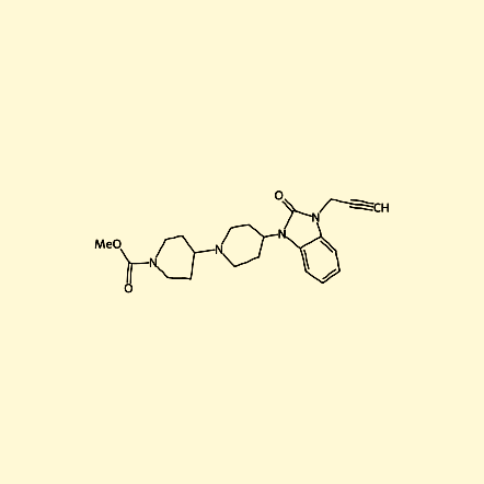 C#CCn1c(=O)n(C2CCN(C3CCN(C(=O)OC)CC3)CC2)c2ccccc21